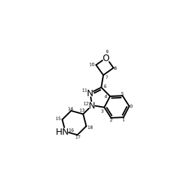 c1ccc2c(c1)c(C1COC1)nn2C1CCNCC1